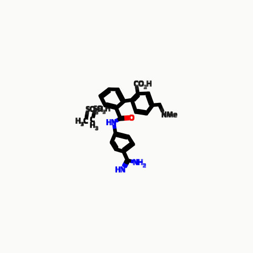 CNCc1ccc(-c2ccccc2C(=O)Nc2ccc(C(=N)N)cc2)c(C(=O)O)c1.CS(=O)(=O)O.CS(=O)(=O)O